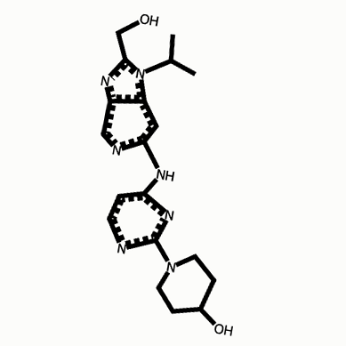 CC(C)n1c(CO)nc2cnc(Nc3ccnc(N4CCC(O)CC4)n3)cc21